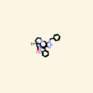 CC[C@@]12CCCN3CCc4c([nH]c5ccccc45)[C@]31N(Cc1cn(Cc3ccccc3)nn1)C(=O)C2